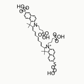 CC1(C)C(=CC=CC=CC=CC2=[N+](CCCS(=O)(=O)O)c3ccc4cc(SOOO)ccc4c3C2(C)C)N(CCCS(=O)(=O)O)c2ccc3cc(S(=O)(=O)O)ccc3c21